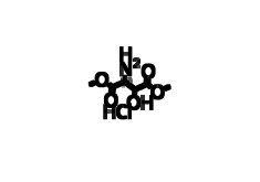 COC(=O)C(O)[C@H](N)C(=O)OC.Cl